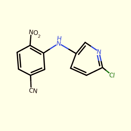 N#Cc1ccc([N+](=O)[O-])c(Nc2ccc(Cl)nc2)c1